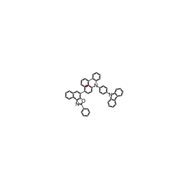 c1ccc(-c2nc3c(o2)c(-c2ccc(N(c4ccc(-n5c6ccccc6c6ccccc65)cc4)c4ccccc4-c4ccccc4)cc2)cc2ccccc23)cc1